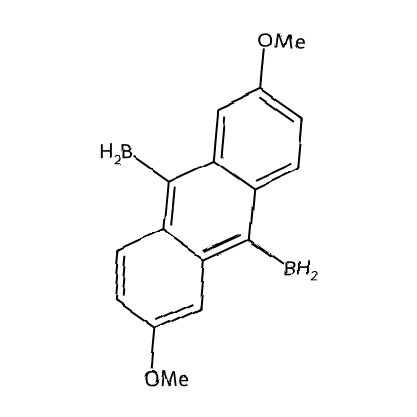 Bc1c2ccc(OC)cc2c(B)c2ccc(OC)cc12